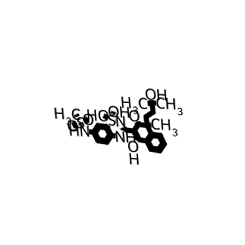 CC(C)(O)CCC1(C)C(=O)C(C2=NS(O)(O)c3cc(NS(C)(=O)=O)ccc3N2)=C(O)c2ccccc21